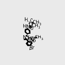 CCNS(=O)(=O)c1cc(Br)ccc1-c1cnc([C@H]2CC[C@H](NC(=O)OC(C)(C)C)CC2)s1